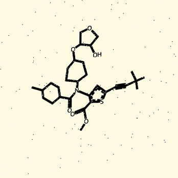 COC(=O)c1sc(C#CC(C)(C)C)cc1N(C(=O)C1CCC(C)CC1)C1CCC(OC2COCC2O)CC1